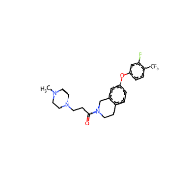 CN1CCN(CCC(=O)N2CCc3ccc(Oc4ccc(C(F)(F)F)c(F)c4)cc3C2)CC1